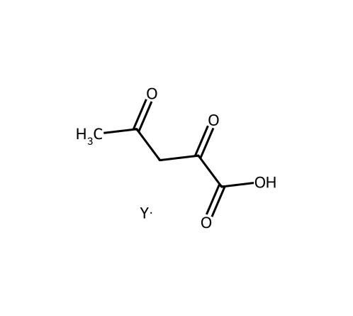 CC(=O)CC(=O)C(=O)O.[Y]